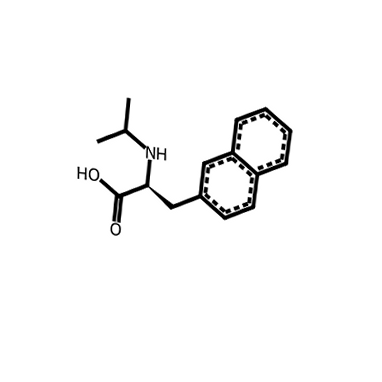 CC(C)N[C@@H](Cc1ccc2ccccc2c1)C(=O)O